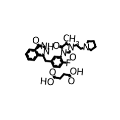 CC1C(=O)N(c2cc(Cc3n[nH]c(=O)c4ccccc34)ccc2F)C(=O)N1CCN1CCCC1.O=C(O)CCC(=O)O